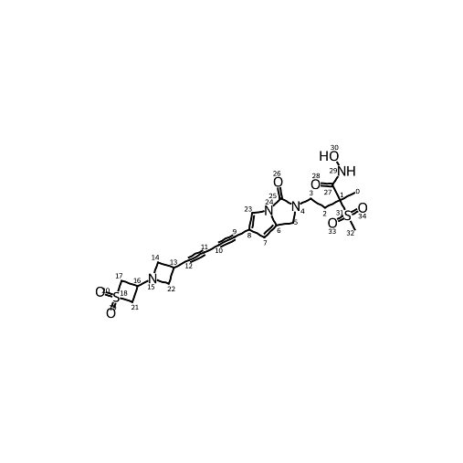 CC(CCN1Cc2cc(C#CC#CC3CN(C4CS(=O)(=O)C4)C3)cn2C1=O)(C(=O)NO)S(C)(=O)=O